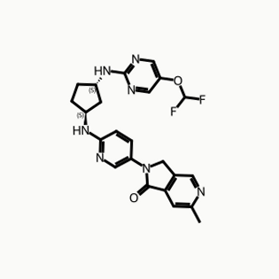 Cc1cc2c(cn1)CN(c1ccc(N[C@H]3CC[C@H](Nc4ncc(OC(F)F)cn4)C3)nc1)C2=O